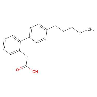 CCCCCc1ccc(-c2ccccc2CC(=O)O)cc1